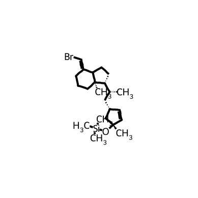 C[C@H](C[C@@H]1C=C[C@](C)(O[Si](C)(C)C)C1)[C@H]1CCC2/C(=C/Br)CCC[C@@]21C